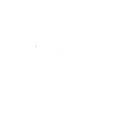 c1ccc(P(c2ccccc2)c2ccccc2C2OCCO2)cc1